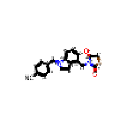 N#Cc1ccc(Cn2ccc3c(CN4C(=O)CSC4=O)cccc32)cc1